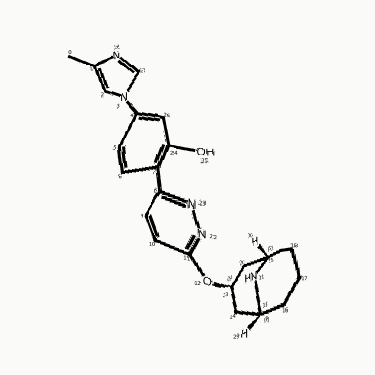 Cc1cn(-c2ccc(-c3ccc(O[C@@H]4C[C@H]5CCC[C@@H](C4)N5)nn3)c(O)c2)cn1